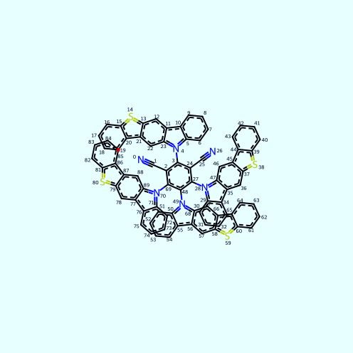 N#Cc1c(-n2c3ccccc3c3cc4sc5ccccc5c4cc32)c(C#N)c(-n2c3ccccc3c3cc4sc5ccccc5c4cc32)c(-n2c3ccccc3c3cc4sc5ccccc5c4cc32)c1-n1c2ccccc2c2cc3sc4ccccc4c3cc21